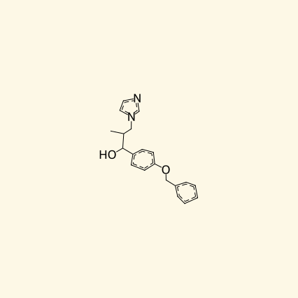 CC(Cn1ccnc1)C(O)c1ccc(OCc2ccccc2)cc1